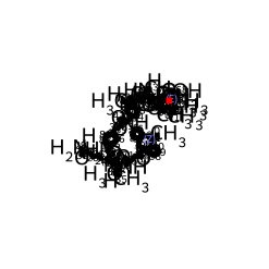 CC/C1=C/c2ccccc2CN(C(=O)CCC(=O)N[C@H](C(=O)N[C@@H](CCCNC(N)=O)C(=O)Nc2ccc(COC(=O)Nc3ccc4c(C(C)(C)[C@H](NC)C(=O)N[C@H](C(=O)N(C)[C@H](/C=C(\C)C(=O)O)C(C)C)C(C)(C)C)cn(C)c4c3)cc2)C(C)C)c2ccccc21